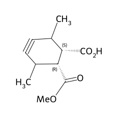 COC(=O)[C@@H]1C(C)C#CC(C)[C@@H]1C(=O)O